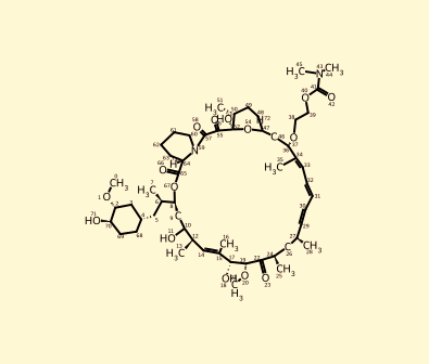 CO[C@@H]1C[C@H](C[C@@H](C)[C@@H]2CC(O)[C@H](C)/C=C(\C)[C@@H](O)[C@@H](OC)C(=O)[C@H](C)C[C@H](C)/C=C/C=C/C=C(\C)[C@@H](OCCOC(=O)N(C)C)C[C@@H]3CC[C@@H](C)[C@@](O)(O3)C(=O)C(=O)N3CCCC[C@H]3C(=O)O2)CC[C@H]1O